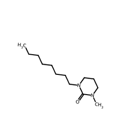 CCCCCCCCN1CCCN(C)C1=O